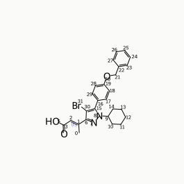 C/C(=C\C(=O)O)c1nn(C2CCCCC2)c(-c2ccc(OCc3ccccc3)cc2)c1Br